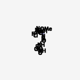 COc1cc2ncnc(Nc3ccc(F)c(Cl)c3)c2cc1NC(=O)/C=C/CN1CCN(C(=O)CCCCCNc2cccc3c2CN(C2CCC(=O)NC2=O)C3=O)CC1